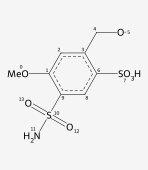 COc1cc(C[O])c(S(=O)(=O)O)cc1S(N)(=O)=O